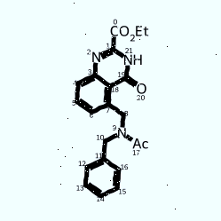 CCOC(=O)c1nc2cccc(CN(Cc3ccccc3)C(C)=O)c2c(=O)[nH]1